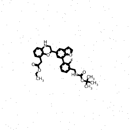 CCOC(=O)Cc1cccc2c1OC(c1cc(-c3cccc(CNC(=O)OC(C)(C)C)c3F)c3occc3c1)CN2